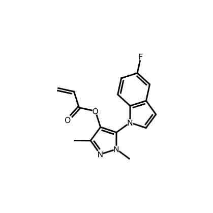 C=CC(=O)Oc1c(C)nn(C)c1-n1ccc2cc(F)ccc21